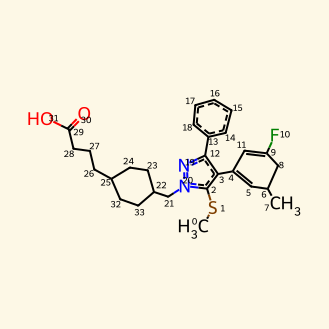 CSc1c(C2=CC(C)CC(F)=C2)c(-c2ccccc2)nn1CC1CCC(CCCC(=O)O)CC1